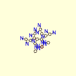 N#Cc1ccc(-c2ccc3c(c2)c2cc(-c4ccc(C#N)cc4C#N)ccc2n3-c2cc(-c3cccc(-c4cc(-c5nc(-c6ccccc6)nc(-c6ccccc6)n5)ccc4-n4c5ccc(-c6ccc(C#N)cc6C#N)cc5c5cc(-c6ccc(C#N)cc6C#N)ccc54)c3)cc(-c3nc(-c4ccccc4)nc(-c4ccccc4)n3)c2)c(C#N)c1